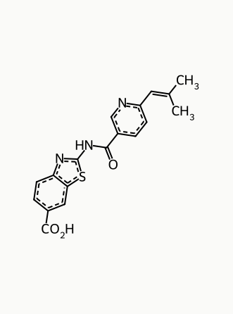 CC(C)=Cc1ccc(C(=O)Nc2nc3ccc(C(=O)O)cc3s2)cn1